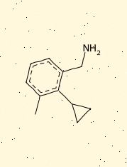 Cc1cccc(CN)c1C1CC1